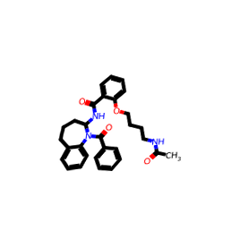 CC(=O)NCCCCOc1ccccc1C(=O)NC1CCCc2ccccc2N1C(=O)c1ccccc1